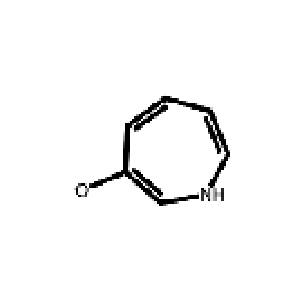 [O]C1=CNC=CC=C1